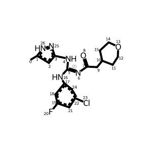 Cc1cc(N/C(=N\C(=O)CC2CCOCC2)Nc2cc(F)cc(Cl)c2)n[nH]1